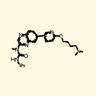 CC(C)NC(=O)N(C)c1cnc2ccc(-c3ccc(OCCCCN(C)C)nc3)cc2n1